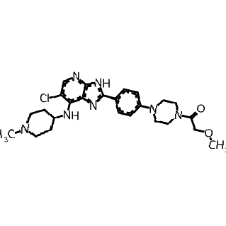 COCC(=O)N1CCN(c2ccc(-c3nc4c(NC5CCN(C)CC5)c(Cl)cnc4[nH]3)cc2)CC1